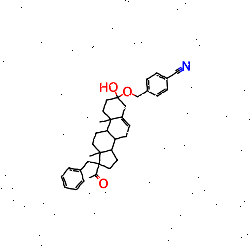 CC(=O)C1(Cc2ccccc2)CCC2C3CC=C4CC(O)(OCc5ccc(C#N)cc5)CCC4(C)C3CCC21C